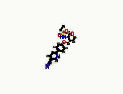 CCS(=O)(=O)N[C@H]1COCC[C@@H]1COc1ccc(-c2ccc(C#N)cn2)cc1